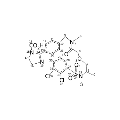 CC(COCC(=O)N(C)Cc1ccc(C2=NCCN2C(=O)O)cc1)N(C)S(=O)(=O)c1cccc(Cl)c1Cl